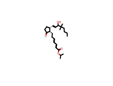 CCCCC(C)(C)C(O)C=C[C@H]1CCC(=O)[C@@H]1CC/C=C/C=C/C(=O)OC(C)C